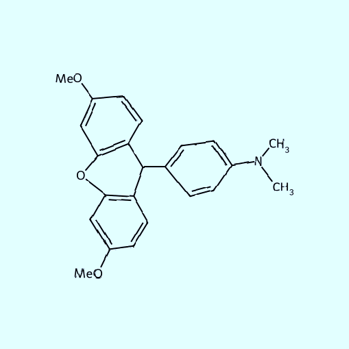 COc1ccc2c(c1)Oc1cc(OC)ccc1C2c1ccc(N(C)C)cc1